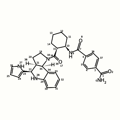 NC(=O)c1ccc(C(=O)N[C@@H]2CCCC[C@@H]2C(=O)N2CC[C@@H]3[C@H](c4ccc[nH]4)Nc4ccccc4[C@@H]32)cc1